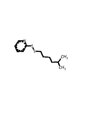 CC(C)CCCCSSc1ccccn1